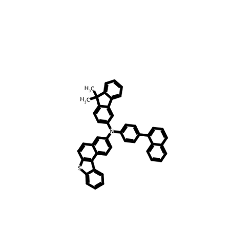 CC1(C)c2ccccc2-c2cc(N(c3ccc(-c4cccc5ccccc45)cc3)c3ccc4c(ccc5sc6ccccc6c54)c3)ccc21